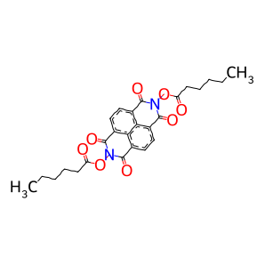 CCCCCC(=O)ON1C(=O)c2ccc3c4c(ccc(c24)C1=O)C(=O)N(OC(=O)CCCCC)C3=O